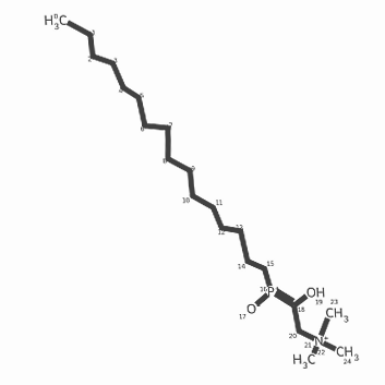 CCCCCCCCCCCCCCCC/[P+]([O-])=C(\O)C[N+](C)(C)C